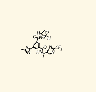 Cc1cnc(-c2cc(C(=O)N[C@H](C)c3cnc(C(F)(F)F)nc3)cc(C(=O)N3C[C@@H]4C[C@H]3CO4)c2)s1